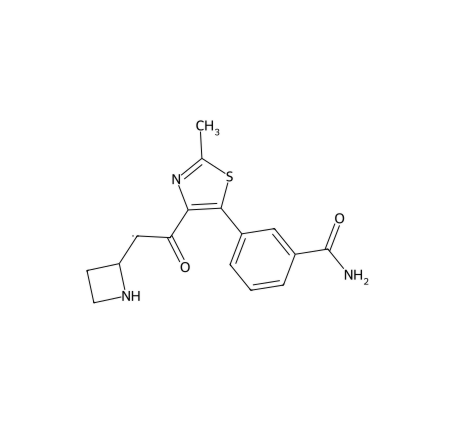 Cc1nc(C(=O)[CH]C2CCN2)c(-c2cccc(C(N)=O)c2)s1